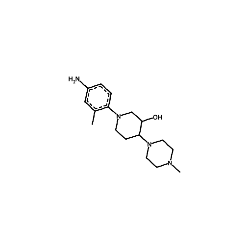 Cc1cc(N)ccc1N1CCC(N2CCN(C)CC2)C(O)C1